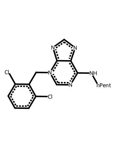 CCCCCNc1ncn(Cc2c(Cl)cccc2Cl)c2ncnc1-2